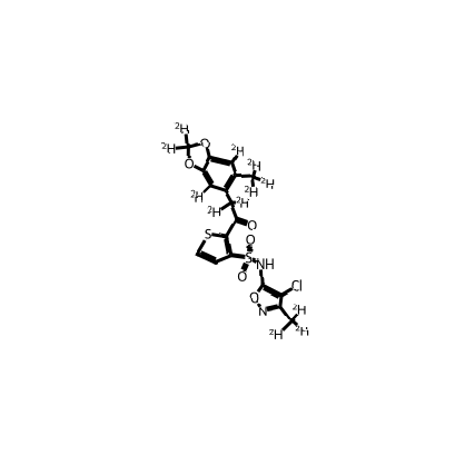 [2H]c1c2c(c([2H])c(C([2H])([2H])C(=O)c3sccc3S(=O)(=O)Nc3onc(C([2H])([2H])[2H])c3Cl)c1C([2H])([2H])[2H])OC([2H])([2H])O2